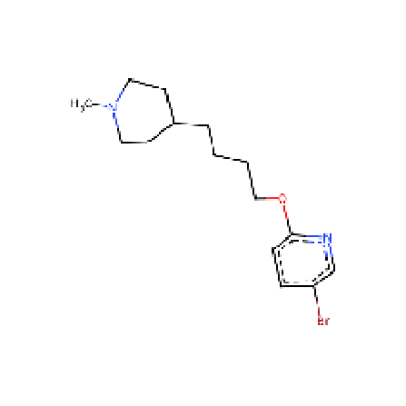 CN1CCC(CCCCOc2ccc(Br)cn2)CC1